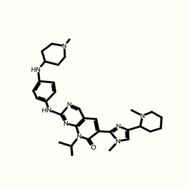 CC(C)n1c(=O)c(-c2nc(C3CCCCN3C)cn2C)cc2cnc(Nc3ccc(NC4CCN(C)CC4)cc3)nc21